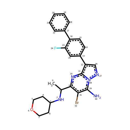 CC(NC1CCOCC1)c1nc2c(-c3ccc(-c4ccccc4)c(F)c3)cnn2c(N)c1Br